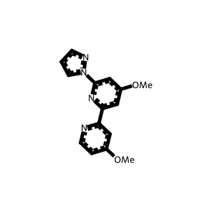 COc1ccnc(-c2cc(OC)cc(-n3cccn3)n2)c1